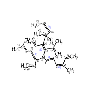 C=C/C(C)=C\C=C\N(/C(C=C)=C/C=C(C)C)/C(C(=C)C)=C(\C=C)C(C)(C)/C=C\C